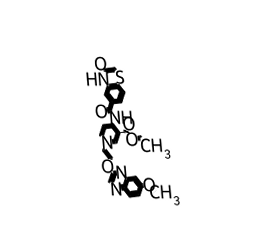 CCOC(=O)[C@@H]1CN(CCOc2cnc3ccc(OC)cc3n2)CC[C@@H]1NC(=O)c1ccc2c(c1)NC(=O)CS2